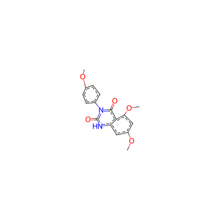 COc1ccc(-n2c(=O)[nH]c3cc(OC)cc(OC)c3c2=O)cc1